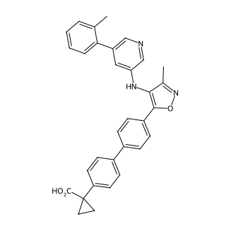 Cc1ccccc1-c1cncc(Nc2c(C)noc2-c2ccc(-c3ccc(C4(C(=O)O)CC4)cc3)cc2)c1